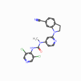 CN(C(=O)Nc1c(Cl)cncc1Cl)c1ccnc(N2CCc3ccc(C#N)cc32)c1